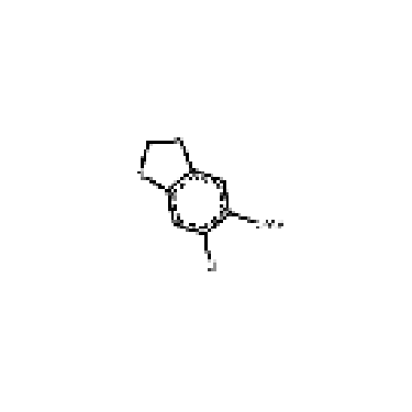 COc1cc2c(cc1Cl)NCC2